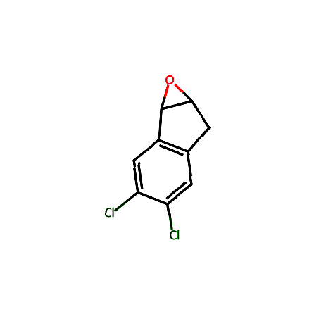 Clc1cc2c(cc1Cl)C1OC1C2